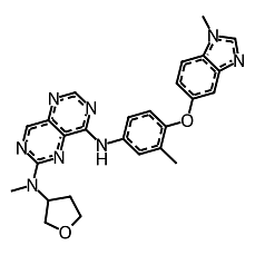 Cc1cc(Nc2ncnc3cnc(N(C)C4CCOC4)nc23)ccc1Oc1ccc2c(c1)ncn2C